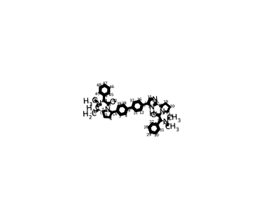 [CH2]C[C@H]1CCC(c2ccc(-c3ccc(-c4cnc([C@@H]5CCCN5C(=O)[C@@H](c5ccccc5)N(C)C)[nH]4)cc3)cc2)N1C(=O)[C@@H](c1ccccc1)N(C)C